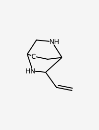 C=CC1NC2CCC1NC2